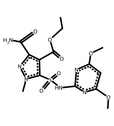 CCOC(=O)c1c(C(N)=O)nn(C)c1S(=O)(=O)Nc1nc(OC)cc(OC)n1